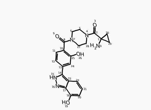 NC1(C(=O)N2CCN(C(=O)c3ccc(-c4[nH]nc5c(O)cccc45)cc3O)CC2)CC1